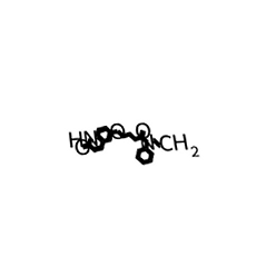 C=CCN(C(=O)CCCOc1ccc2[nH]c(=O)ccc2c1)C1CCCCC1